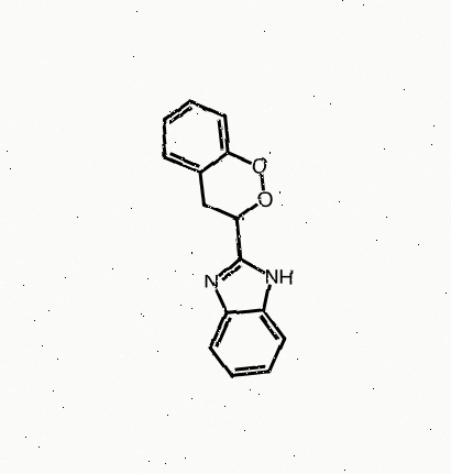 c1ccc2c(c1)C[C](c1nc3ccccc3[nH]1)OO2